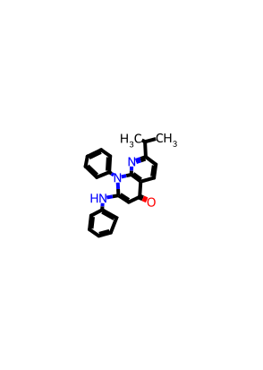 CC(C)c1ccc2c(=O)cc(Nc3ccccc3)n(-c3ccccc3)c2n1